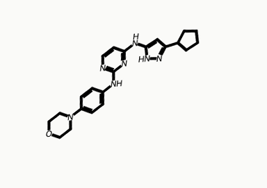 c1cc(Nc2cc(C3CCCC3)n[nH]2)nc(Nc2ccc(N3CCOCC3)cc2)n1